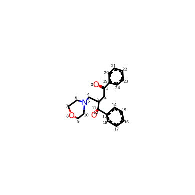 O=C(CC(CN1CCOCC1)C(=O)c1ccccc1)c1ccccc1